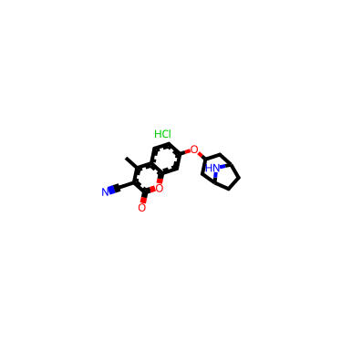 Cc1c(C#N)c(=O)oc2cc(OC3CC4CCC(C3)N4)ccc12.Cl